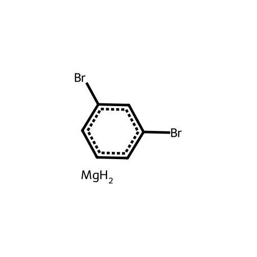 Brc1cccc(Br)c1.[MgH2]